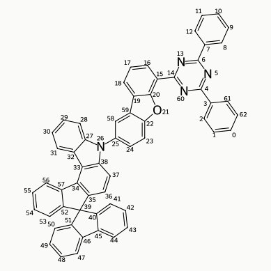 c1ccc(-c2nc(-c3ccccc3)nc(-c3cccc4c3oc3ccc(-n5c6ccccc6c6c7c(ccc65)C5(c6ccccc6-c6ccccc65)c5ccccc5-7)cc34)n2)cc1